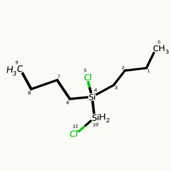 CCCC[Si](Cl)(CCCC)[SiH2]Cl